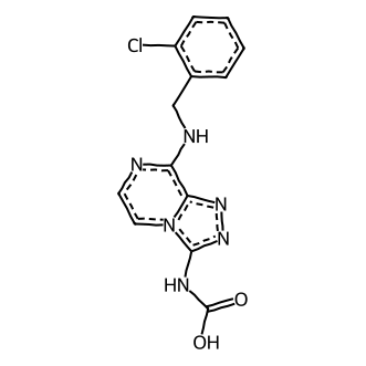 O=C(O)Nc1nnc2c(NCc3ccccc3Cl)nccn12